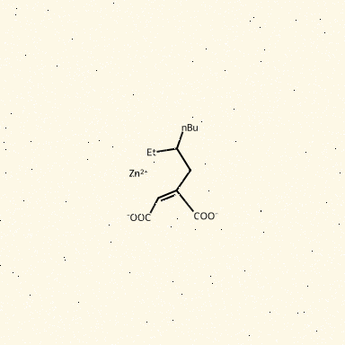 CCCCC(CC)CC(=CC(=O)[O-])C(=O)[O-].[Zn+2]